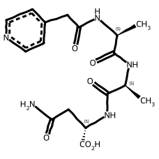 C[C@H](NC(=O)Cc1ccncc1)C(=O)N[C@@H](C)C(=O)N[C@@H](CC(N)=O)C(=O)O